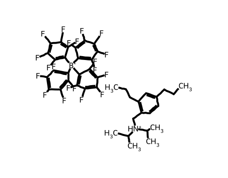 CCCc1ccc(C[NH+](C(C)C)C(C)C)c(CCC)c1.Fc1c(F)c(F)c([B-](c2c(F)c(F)c(F)c(F)c2F)(c2c(F)c(F)c(F)c(F)c2F)c2c(F)c(F)c(F)c(F)c2F)c(F)c1F